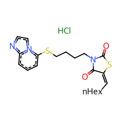 CCCCCCC=C1SC(=O)N(CCCCSc2cccc3nccn23)C1=O.Cl